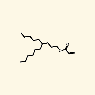 C=CC(=O)OCCCC(CCCCC)CCCCCC